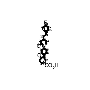 O=C(O)N1CCc2oc3cc(-n4ccc(CCc5ccc(F)cn5)cc4=O)ccc3c2C1